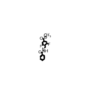 COC(=O)c1cc(F)c(/C=N/NC(=O)c2ccccc2)c(F)c1